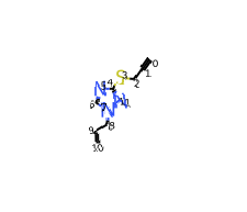 C#CCSc1ncn(CC=C)n1